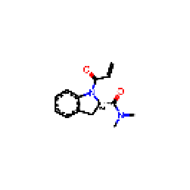 C=CC(=O)N1c2ccccc2C[C@H]1C(=O)N(C)C